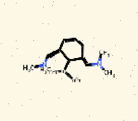 CC[CH2][In]([CH2]CC)[CH]1/C(=C\N(C)C)C=CC/C1=C\N(C)C